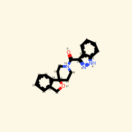 O=C(c1n[nH]c2ccccc12)N1CCC2(CC1)OCc1ccccc12